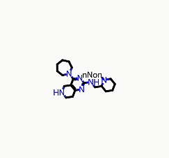 CCCCCCCCCN1CCCCC1CNc1nc2c(c(N3CCCCCC3)n1)CNCC2